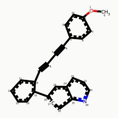 COc1ccc(C#CC#Cc2ccccc2-c2ccc3ncccc3c2)cc1